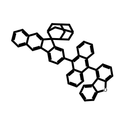 c1ccc2cc3c(cc2c1)-c1ccc(-c2c4ccccc4c(-c4cccc5oc6ccccc6c45)c4ccccc24)cc1C31C2CC3CC(C2)CC1C3